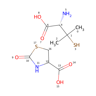 CC(C)(S)[C@@H](N)C(=O)O.O=C1NC(C(=O)O)CS1